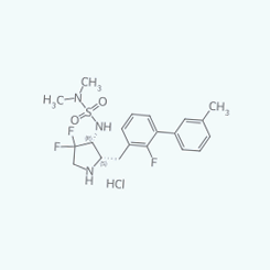 Cc1cccc(-c2cccc(C[C@@H]3NCC(F)(F)[C@@H]3NS(=O)(=O)N(C)C)c2F)c1.Cl